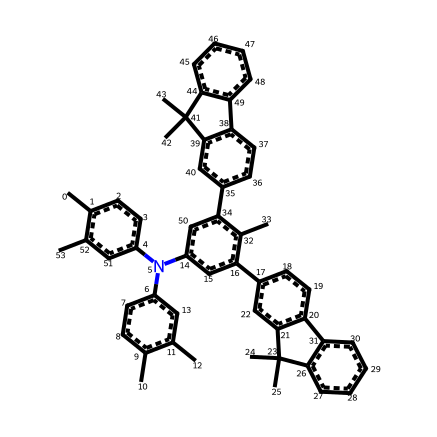 Cc1ccc(N(c2ccc(C)c(C)c2)c2cc(-c3ccc4c(c3)C(C)(C)c3ccccc3-4)c(C)c(-c3ccc4c(c3)C(C)(C)c3ccccc3-4)c2)cc1C